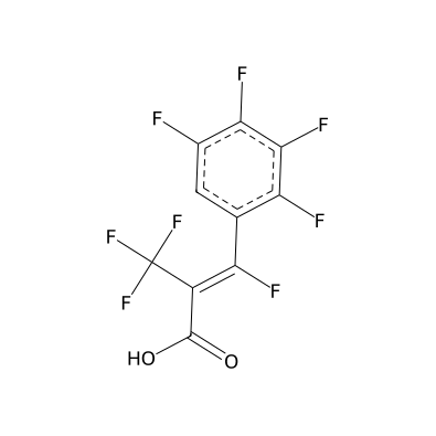 O=C(O)C(=C(F)c1cc(F)c(F)c(F)c1F)C(F)(F)F